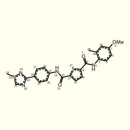 COc1ccc(NC(=O)c2ccc(C(=O)Nc3ccc(-c4ncn(C)n4)cc3)s2)c(C)c1